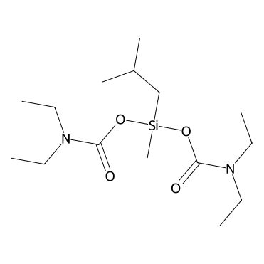 CCN(CC)C(=O)O[Si](C)(CC(C)C)OC(=O)N(CC)CC